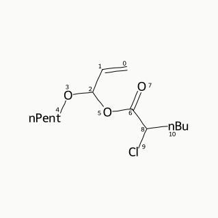 C=CC(OCCCCC)OC(=O)C(Cl)CCCC